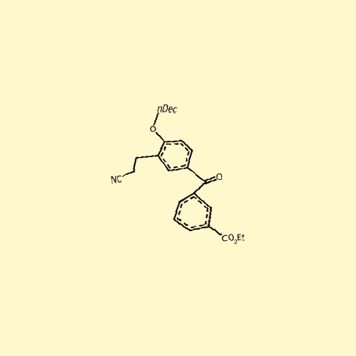 CCCCCCCCCCOc1ccc(C(=O)c2cccc(C(=O)OCC)c2)cc1CCC#N